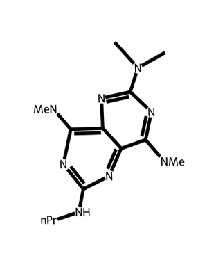 CCCNc1nc(NC)c2nc(N(C)C)nc(NC)c2n1